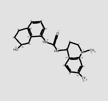 CN1CCC(NC(=O)Nc2cccc3c2CC(O)CC3)c2ccc(C(F)(F)F)cc21